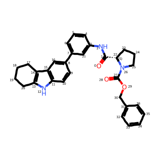 O=C(Nc1cccc(-c2ccc3[nH]c4c(c3c2)CCCC4)c1)[C@@H]1CCCN1C(=O)OCc1ccccc1